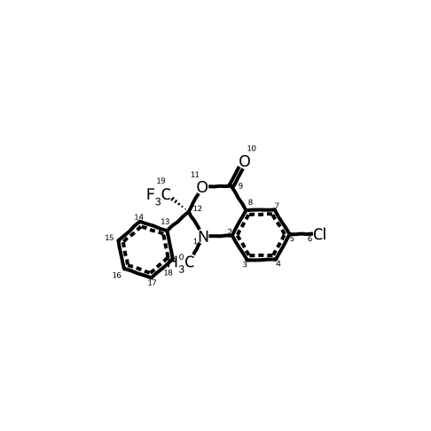 CN1c2ccc(Cl)cc2C(=O)O[C@@]1(c1ccccc1)C(F)(F)F